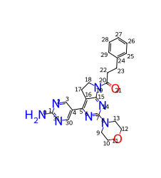 Nc1ncc(-c2nc(N3CCOCC3)nc3c2CCN3C(=O)CCc2ccccc2)cn1